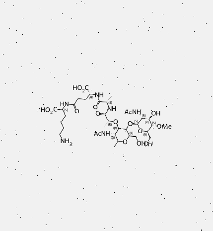 CO[C@H]1[C@H](O)[C@@H](NC(C)=O)[C@H](OC2[C@@H](CO)OC(C)[C@H](NC(C)=O)[C@H]2O[C@H](C)C(=O)N[C@@H](C)C(=O)N[C@H](CCC(=O)N[C@@H](CCCCN)C(=O)O)C(=O)O)O[C@@H]1CO